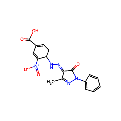 CC1=NN(c2ccccc2)C(=O)/C1=N/NC1CC=C(C(=O)O)C=C1[N+](=O)[O-]